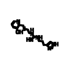 N=C(NCCCc1c[nH]cn1)NCCSCc1ncccc1O